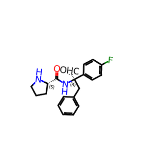 O=[C][C@](Cc1ccccc1)(NC(=O)[C@@H]1CCCN1)c1ccc(F)cc1